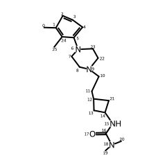 Cc1cccc(N2CCN(CCC3CC(NC(=O)N(C)C)C3)CC2)c1C